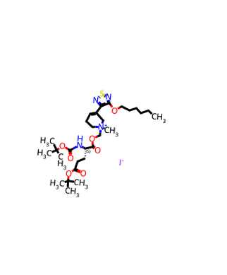 CCCCCCOc1nsnc1C1=CCC[N+](C)(COC(=O)[C@H](CCC(=O)OC(C)(C)C)NC(=O)OC(C)(C)C)C1.[I-]